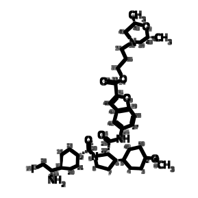 COC1CCC([C@@H]2CCN(C(=O)[C@H]3CC[C@H]([C@H](N)CF)CC3)[C@@H]2C(=O)Nc2ccc3oc(C(=O)OCCCN4C[C@@H](C)O[C@@H](C)C4)cc3c2)CC1